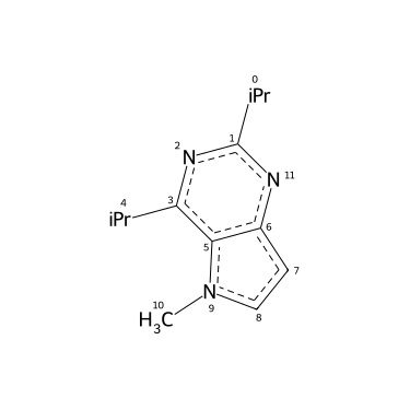 CC(C)c1nc(C(C)C)c2c(ccn2C)n1